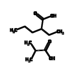 CC(C)C(=O)O.CCCC(CC)C(=O)O